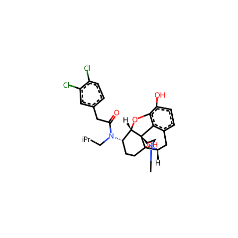 CC(C)CN(C(=O)Cc1ccc(Cl)c(Cl)c1)[C@H]1CC[C@@]2(O)[C@H]3Cc4ccc(O)c5c4[C@@]2(CCN3C)[C@H]1O5